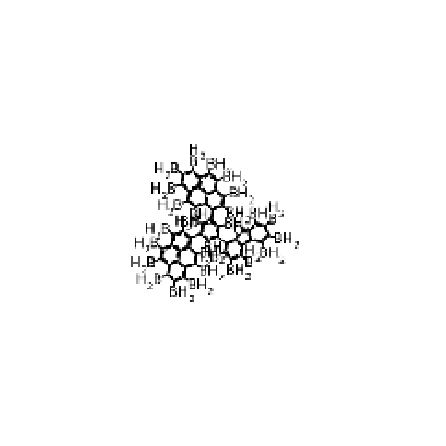 Bc1c(-c2c(B)c(B)c(B)c3c2oc2c(B)c(B)c(B)c(B)c23)c(B)c(-c2c(B)c(B)c3c(B)c(B)c4c(B)c(B)c(B)c5c(B)c(B)c2c3c45)c(B)c1-c1c(B)c(B)c2c(B)c(B)c3c(B)c(B)c(B)c4c(B)c(B)c1c2c34